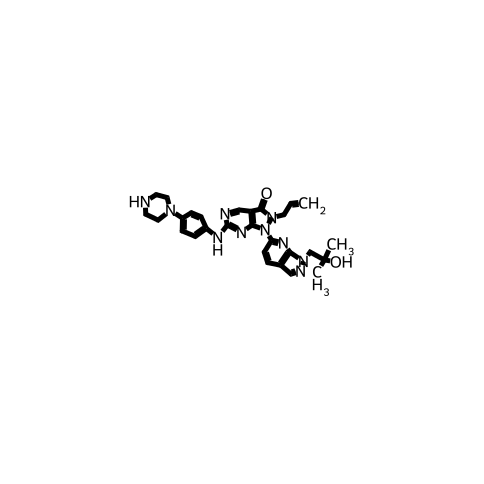 C=CCn1c(=O)c2cnc(Nc3ccc(N4CCNCC4)cc3)nc2n1-c1ccc2cnn(CC(C)(C)O)c2n1